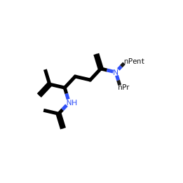 C=C(C)NC(CCC(=C)N(CCC)CCCCC)C(=C)C